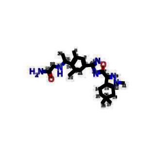 Cc1cc(-c2noc(-c3nn(C)c4c3CCC(C)(C)C4)n2)cc(C)c1C(C)NCC(N)=O